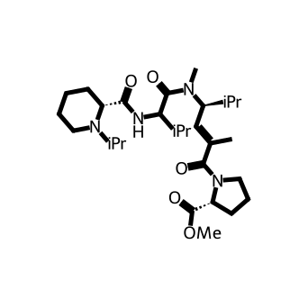 COC(=O)[C@H]1CCCN1C(=O)/C(C)=C/[C@H](C(C)C)N(C)C(=O)C(NC(=O)[C@H]1CCCCN1C(C)C)C(C)C